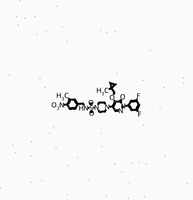 Cc1cc(CNS(=O)(=O)N2CCN(c3cnn(-c4cc(F)cc(F)c4)c(=O)c3OCC3(C)CC3)CC2)ccc1[N+](=O)[O-]